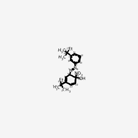 CCC(C)(C)C1=CC(N=Nc2cccc(C(C)(C)CC)c2)C(O)([N+](=O)[O-])C=C1